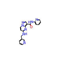 O=C(Nc1ccccn1)c1cnn2ccc(NCc3cccnc3)nc12